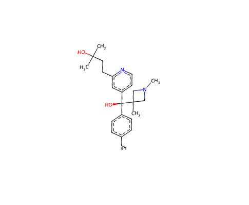 CC(C)c1ccc([C@](O)(c2ccnc(CCC(C)(C)O)c2)C2(C)CN(C)C2)cc1